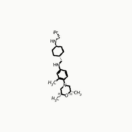 Cc1cc(NC[C@H]2CC[C@H](NSC(C)C)CC2)ccc1N1C[C@@H](C)O[C@@H](C)C1